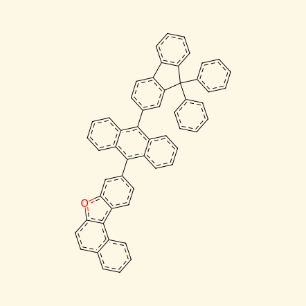 c1ccc(C2(c3ccccc3)c3ccccc3-c3ccc(-c4c5ccccc5c(-c5ccc6c(c5)oc5ccc7ccccc7c56)c5ccccc45)cc32)cc1